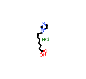 Cl.O=C(O)CCCC/C=C\Cn1ccnc1